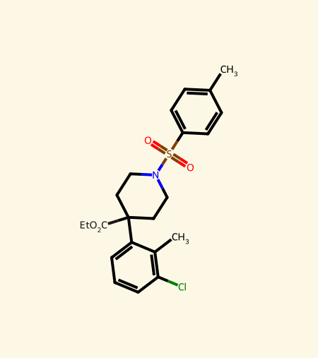 CCOC(=O)C1(c2cccc(Cl)c2C)CCN(S(=O)(=O)c2ccc(C)cc2)CC1